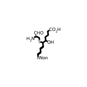 CCCCCCCCCC=CC=CC(SC[C@H](N)C=O)C(O)CCCC(=O)O